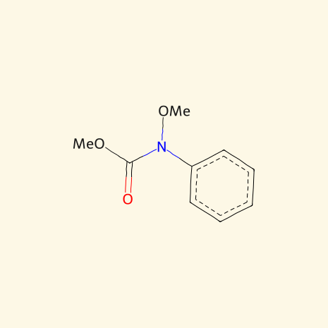 COC(=O)N(OC)c1ccccc1